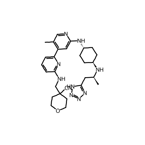 Cc1cnc(N[C@H]2CC[C@H](N[C@@H](C)Cc3nnn[nH]3)CC2)cc1-c1cccc(NCC2(C#N)CCOCC2)n1